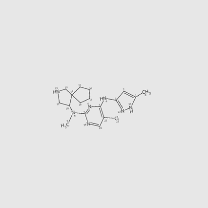 Cc1cc(Nc2nc(N(C)C3CNCC34CCCC4)ncc2Cl)n[nH]1